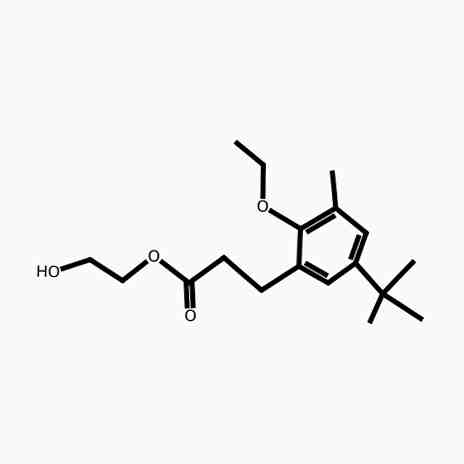 CCOc1c(C)cc(C(C)(C)C)cc1CCC(=O)OCCO